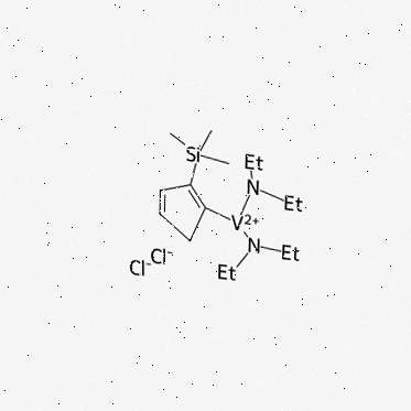 CC[N](CC)[V+2]([C]1=C([Si](C)(C)C)C=CC1)[N](CC)CC.[Cl-].[Cl-]